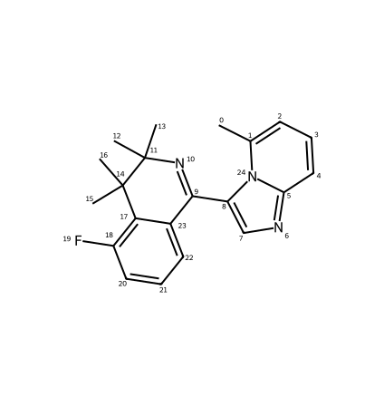 Cc1cccc2ncc(C3=NC(C)(C)C(C)(C)c4c(F)cccc43)n12